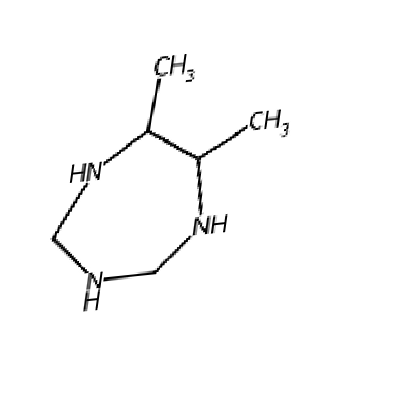 CC1NCNCNC1C